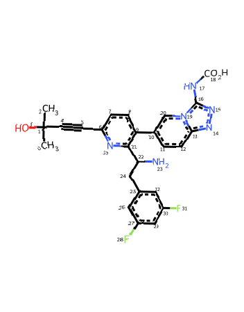 CC(C)(O)C#Cc1ccc(-c2ccc3nnc(NC(=O)O)n3c2)c(C(N)Cc2cc(F)cc(F)c2)n1